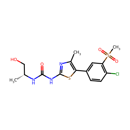 Cc1nc(NC(=O)N[C@H](C)CO)sc1-c1ccc(Cl)c(S(C)(=O)=O)c1